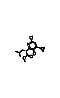 COC(=O)[C@H](CC(C)C)n1nc(Cl)cc(C2CC2)c1=O